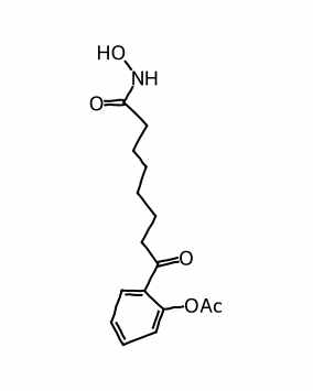 CC(=O)Oc1ccccc1C(=O)CCCCCCC(=O)NO